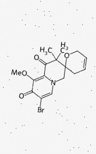 COc1c2n(cc(Br)c1=O)CC1(CC=CCO1)C(C)(C)C2=O